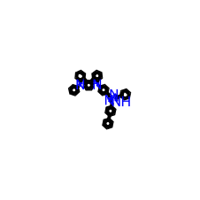 C1=CCCC(C2N=C(c3ccc(-n4c5ccccc5c5c6c7c(n(-c8ccccc8)c6ccc54)CCC=C7)cc3)N=C(c3ccc(-c4ccccc4)cc3)N2)=C1